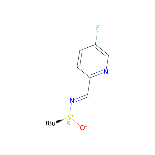 CC(C)(C)[S@+]([O-])N=Cc1ccc(F)cn1